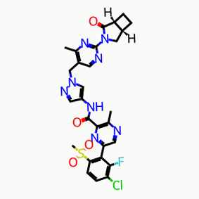 Cc1nc(N2C[C@H]3CC[C@H]3C2=O)ncc1Cn1cc(NC(=O)c2nc(-c3c(S(C)(=O)=O)ccc(Cl)c3F)cnc2C)cn1